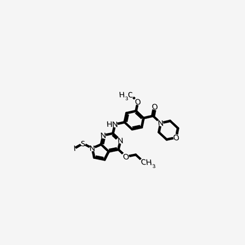 CCOc1nc(Nc2ccc(C(=O)N3CCOCC3)c(OC)c2)nc2c1ccn2SI